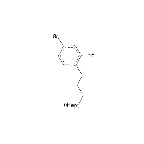 CCCCCCCCCCc1ccc(Br)cc1F